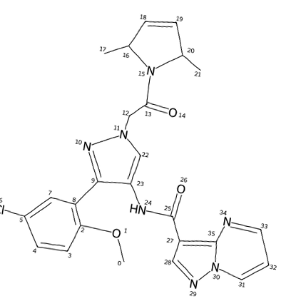 COc1ccc(Cl)cc1-c1nn(CC(=O)N2C(C)C=CC2C)cc1NC(=O)c1cnn2cccnc12